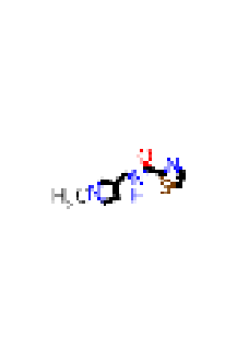 CN1CCC(CNC(=O)c2nccs2)C1